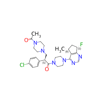 CC(=O)N1CCN(C[C@@H](C(=O)N2CCN(c3ncnc4c3[C@H](C)C[C@@H]4F)CC2)c2ccc(Cl)cc2)CC1